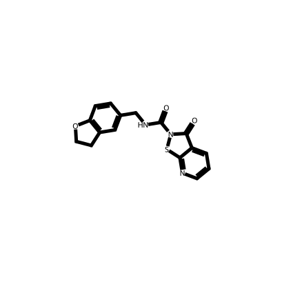 O=C(NCc1ccc2c(c1)CCO2)n1sc2ncccc2c1=O